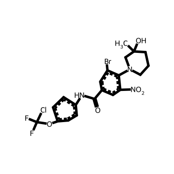 CC1(O)CCCN(c2c(Br)cc(C(=O)Nc3ccc(OC(F)(F)Cl)cc3)cc2[N+](=O)[O-])C1